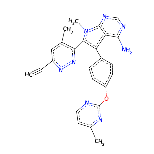 C#Cc1cc(C)c(-c2c(-c3ccc(Oc4nccc(C)n4)cc3)c3c(N)ncnc3n2C)nn1